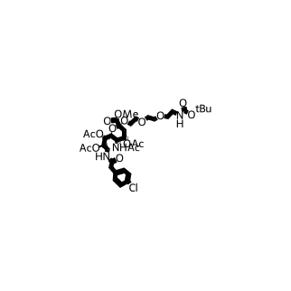 COC(=O)[C@@]1(OCCOCCOCCNC(=O)OC(C)(C)C)C[C@H](OC(C)=O)[C@@H](NC(C)=O)[C@H]([C@H](OC(C)=O)[C@@H](CNC(=O)Cc2ccc(Cl)cc2)OC(C)=O)O1